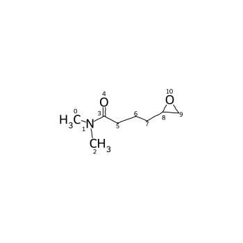 CN(C)C(=O)CCCC1CO1